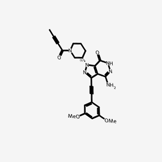 CC#CC(=O)N1CCC[C@H](n2nc(C#Cc3cc(OC)cc(OC)c3)c3c(N)n[nH]c(=O)c32)C1